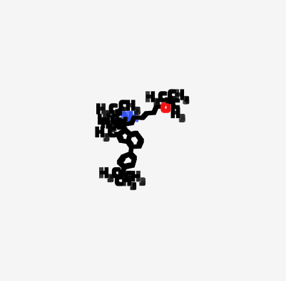 CC1=Cc2c(-c3ccc(C(C)(C)C)cc3)cccc2C1[Si](C)(CCCCCCOC(C)(C)C)NC(C)(C)C